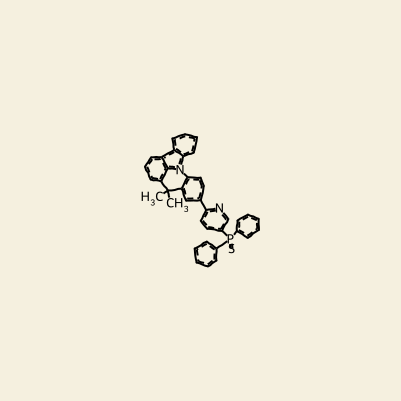 CC1(C)c2cc(-c3ccc(P(=S)(c4ccccc4)c4ccccc4)cn3)ccc2-n2c3ccccc3c3cccc1c32